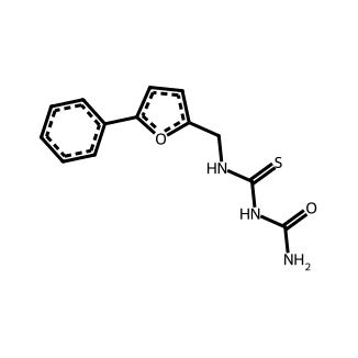 NC(=O)NC(=S)NCc1ccc(-c2ccccc2)o1